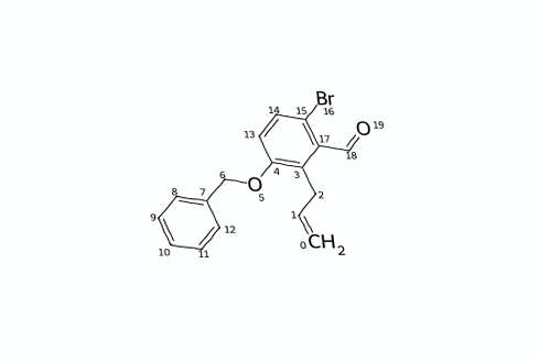 C=CCc1c(OCc2ccccc2)ccc(Br)c1C=O